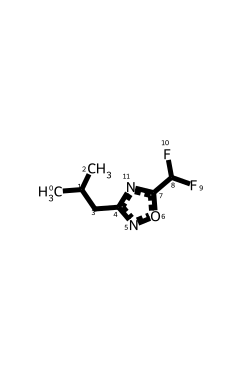 CC(C)Cc1noc(C(F)F)n1